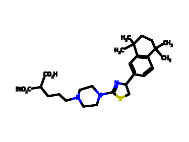 CCOC(=O)C(CCCN1CCN(C2=NC(c3ccc4c(c3)C(C)(C)CCC4(C)C)CS2)CC1)C(=O)O